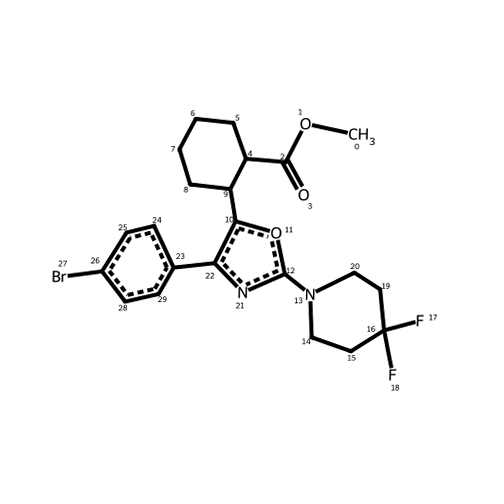 COC(=O)C1CCCCC1c1oc(N2CCC(F)(F)CC2)nc1-c1ccc(Br)cc1